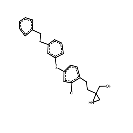 OCC1(CCc2ccc(Sc3cccc(CCc4ccccc4)c3)cc2Cl)CN1